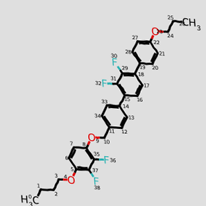 CCCCOc1ccc(OCc2ccc(-c3ccc(-c4ccc(OCCC)cc4)c(F)c3F)cc2)c(F)c1F